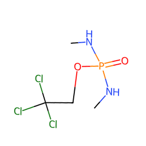 CNP(=O)(NC)OCC(Cl)(Cl)Cl